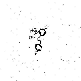 OB(O)c1cc(Cl)ccc1OCc1ccc(F)cc1